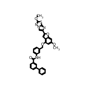 COc1cc(OCc2cccc(NC(=O)c3cccc(-c4ccccc4)c3)c2)c2cc(-c3cn4nc(OC)sc4n3)oc2c1